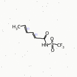 C/C=C/C=C/C(=O)NS(=O)(=O)C(F)(F)F